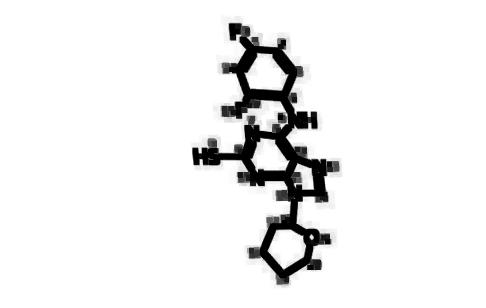 Fc1ccc(Nc2nc(S)nc3c2ncn3C2CCCCO2)c(F)c1